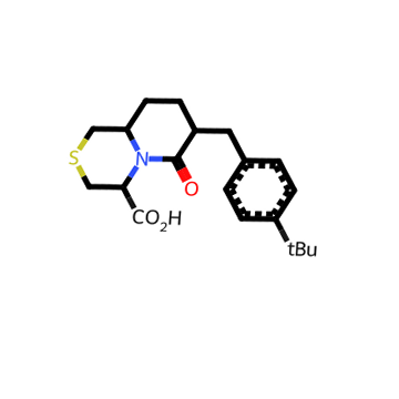 CC(C)(C)c1ccc(CC2CCC3CSCC(C(=O)O)N3C2=O)cc1